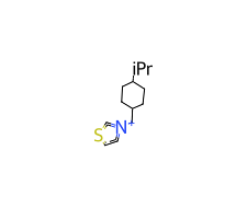 CC(C)C1CCC(C[n+]2ccsc2)CC1